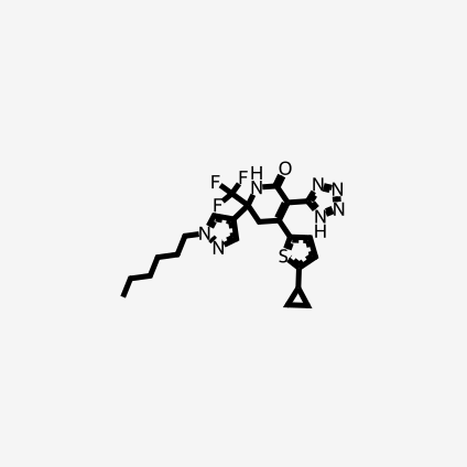 CCCCCCn1cc(C2(C(F)(F)F)CC(c3ccc(C4CC4)s3)=C(c3nnn[nH]3)C(=O)N2)cn1